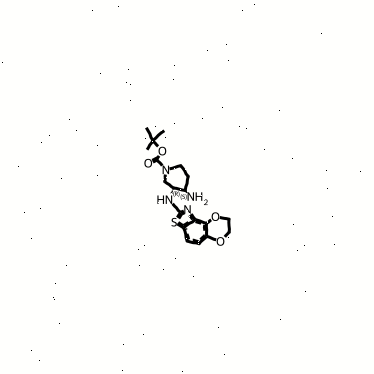 CC(C)(C)OC(=O)N1CC[C@H](N)[C@H](Nc2nc3c4c(ccc3s2)OCCO4)C1